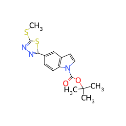 CSc1nnc(-c2ccc3c(ccn3C(=O)OC(C)(C)C)c2)s1